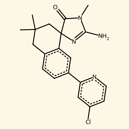 CN1C(=O)C2(CC(C)(C)Cc3ccc(-c4cc(Cl)ccn4)cc32)N=C1N